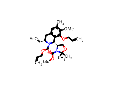 C=CCOC(=O)N1[C@H](COC(C)=O)Cc2cc(C)c(OC)c(OCC=C)c2[C@@H]1C1COC(C)(C)N1C(=O)OC(C)(C)C